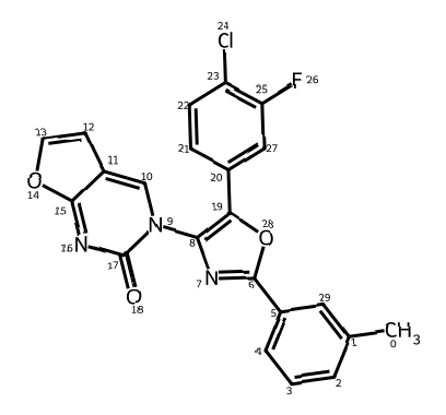 Cc1cccc(-c2nc(-n3cc4ccoc4nc3=O)c(-c3ccc(Cl)c(F)c3)o2)c1